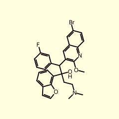 COc1nc2ccc(Br)cc2cc1C(c1cccc(F)c1)C(O)(CCN(C)C)c1cccc2ccoc12